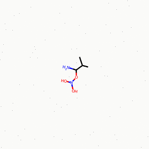 CC(C)C(N)ON(O)O